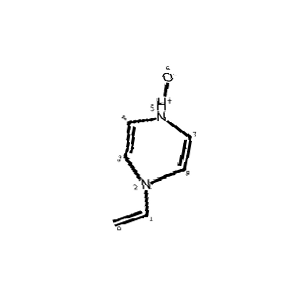 C=CN1C=C[NH+]([O-])C=C1